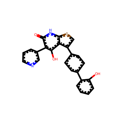 O=c1[nH]c2scc(-c3ccc(-c4ccccc4O)cc3)c2c(O)c1-c1cccnc1